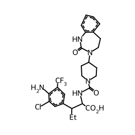 CCC(c1cc(Cl)c(N)c(C(F)(F)F)c1)C(NC(=O)N1CCC(N2CCc3ccccc3NC2=O)CC1)C(=O)O